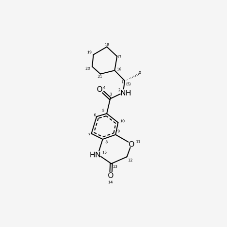 C[C@H](NC(=O)c1ccc2c(c1)OCC(=O)N2)C1CCCCC1